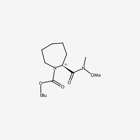 CON(C)C(=O)[C@@H]1CCCCCN1C(=O)OC(C)(C)C